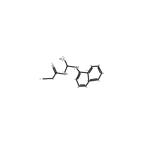 CC(NC(=O)CI)Nc1cccc2ccccc12